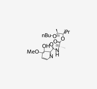 CCCCO[C@@H](C)C(OC(=O)[C@H](C)NC(=O)c1nccc(OC)c1O)C(C)C